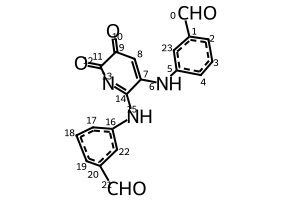 O=Cc1cccc(NC2=CC(=O)C(=O)N=C2Nc2cccc(C=O)c2)c1